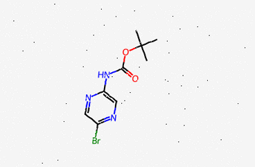 CC(C)(C)OC(=O)Nc1cnc(Br)cn1